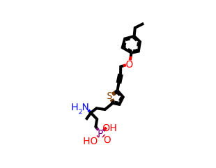 CCc1ccc(OCC#Cc2ccc(CCC(C)(N)CCP(=O)(O)O)s2)cc1